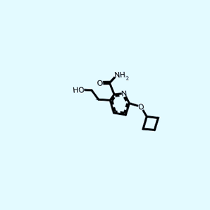 NC(=O)c1nc(OC2CCC2)ccc1[CH]CO